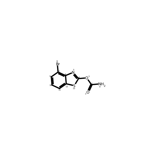 NC(=O)Oc1nc2c(Br)cccc2s1